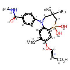 CCCCC1(CCCC)CN(c2ccc(C(=O)NC(C)C)cc2)c2cc(SC)c(O/C=C/C(=O)O)cc2S(O)(O)C1